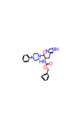 O=C(NC(Cc1c[nH]cn1)C(=O)N1CCN(c2ccccc2)CC1)OCc1ccccc1